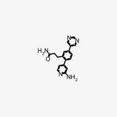 NC(=O)CCc1cc(-c2cncnc2)ccc1-c1ccnc(N)c1